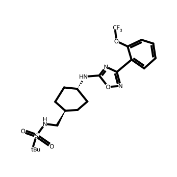 CC(C)(C)S(=O)(=O)NC[C@H]1CC[C@H](Nc2nc(-c3ccccc3OC(F)(F)F)no2)CC1